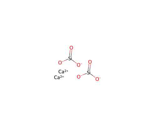 O=[Si]([O-])[O-].O=[Si]([O-])[O-].[Ca+2].[Ca+2]